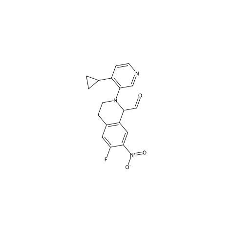 O=CC1c2cc([N+](=O)[O-])c(F)cc2CCN1c1cnccc1C1CC1